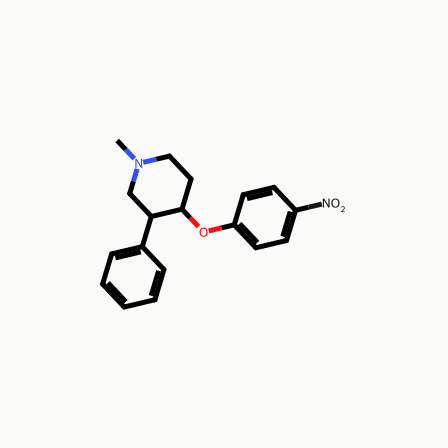 CN1CCC(Oc2ccc([N+](=O)[O-])cc2)C(c2ccccc2)C1